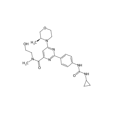 C[C@H]1COCCN1c1cc(C(=O)N(C)CCO)nc(-c2ccc(NC(=O)NC3CC3)cc2)n1